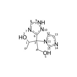 CC(O)C(CO)(c1nc[nH]n1)n1ccnc1